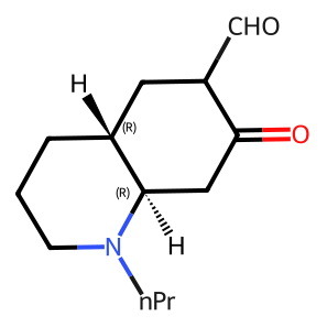 CCCN1CCC[C@@H]2CC(C=O)C(=O)C[C@H]21